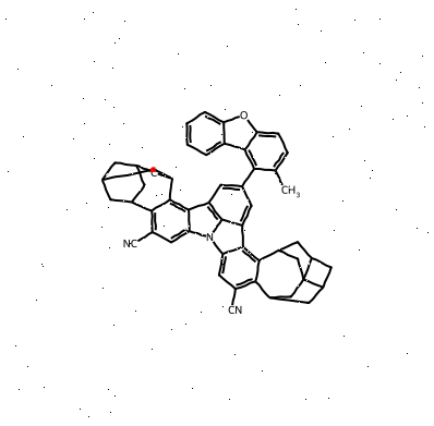 Cc1ccc2oc3ccccc3c2c1-c1cc2c3c4c(c(C#N)cc3n3c5cc(C#N)c6c(c5c(c1)c23)C1CC2CC3CC6CC32C1)C1CC2CC(C1)CC4C2